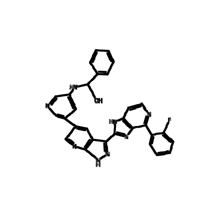 OC(Nc1cncc(-c2cnc3[nH]nc(-c4nc5c(-c6ccccc6F)nccc5[nH]4)c3c2)c1)c1ccccc1